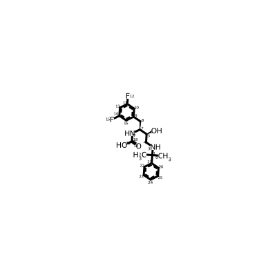 CC(C)(NC[C@H](O)[C@H](Cc1cc(F)cc(F)c1)NC(=O)O)c1ccccc1